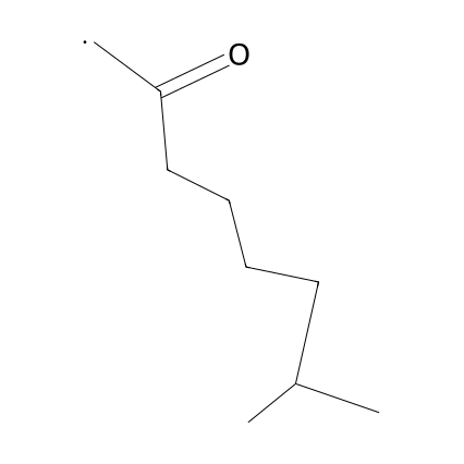 [CH2]C(=O)CCCCC(C)C